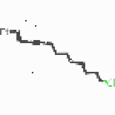 CCC=CC#CCCCCCCCCCl